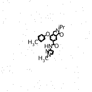 Cc1ccc(Oc2cc(C(=O)Nc3ccn(C)n3)cc3c2CN(C(C)C)C3=O)cc1